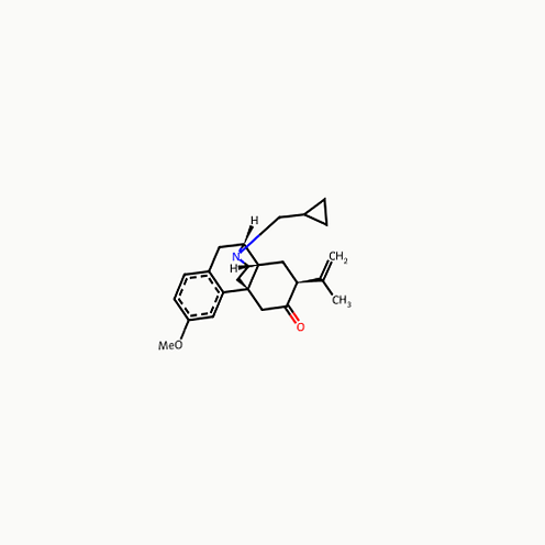 C=C(C)[C@@H]1C[C@H]2[C@H]3Cc4ccc(OC)cc4[C@@]2(CCN3CC2CC2)CC1=O